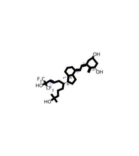 C=C1/C(=C\C=C2/CCC[C@@]3(C)C2CC[C@@H]3C(C/C=C/C(O)(C(F)(F)F)C(F)(F)F)CCCC(C)(C)O)CC(O)C[C@@H]1O